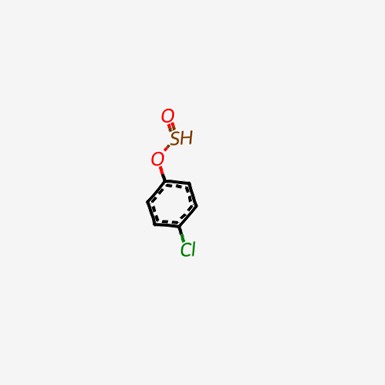 O=[SH]Oc1ccc(Cl)cc1